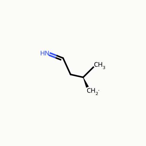 [CH2][C@H](C)CC=N